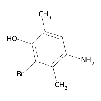 Cc1cc(N)c(C)c(Br)c1O